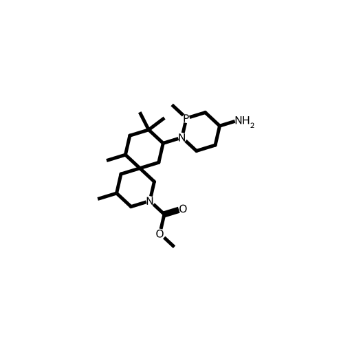 COC(=O)N1CC(C)CC2(CC(N3CCC(N)CP3C)C(C)(C)CC2C)C1